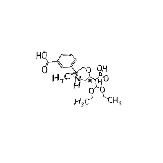 CCOC(OCC)C([C@H]1CN[C@](C)(c2cccc(C(=O)O)c2)CO1)[PH](=O)O